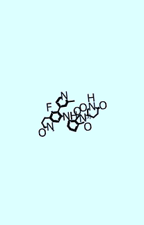 Cc1cc(-c2c(Nc3cccc4c3C(=O)N([C@H]3CCC(=O)NC3=O)C4=O)cc3c(c2F)CCC(=O)N3C)ccn1